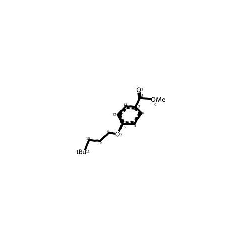 COC(=O)c1ccc(OCCCC(C)(C)C)cc1